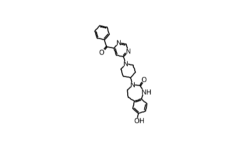 O=C(c1ccccc1)c1cc(N2CCC(N3CCc4cc(O)ccc4NC3=O)CC2)ncn1